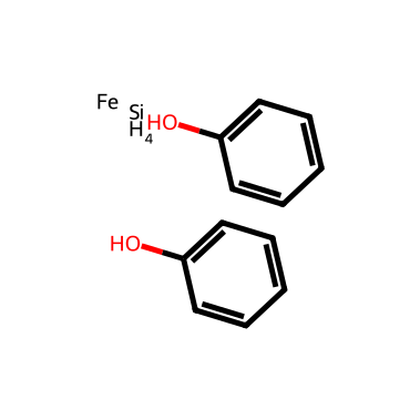 Oc1ccccc1.Oc1ccccc1.[Fe].[SiH4]